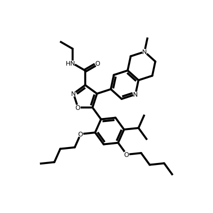 CCCCOc1cc(OCCCC)c(C(C)C)cc1-c1onc(C(=O)NCC)c1-c1cnc2c(c1)CN(C)CC2